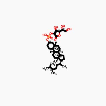 CC(C)[C@H](C)CCC(C)[C@H]1CC[C@H]2[C@@H]3CC[C@H]4C[C@@H](OP(=O)(O)OC5=C(O)[C@@H]([C@@H](O)CO)OC5=O)CC[C@]4(C)[C@H]3CC[C@]12C